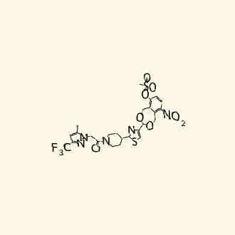 Cc1cc(C(F)(F)F)nn1CC(=O)N1CCC(c2nc(C3OCc4c(OS(C)(=O)=O)ccc([N+](=O)[O-])c4CO3)cs2)CC1